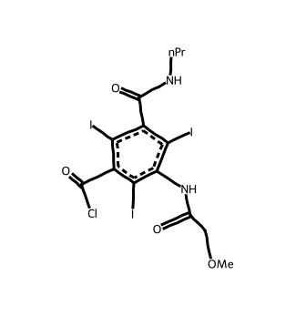 CCCNC(=O)c1c(I)c(NC(=O)COC)c(I)c(C(=O)Cl)c1I